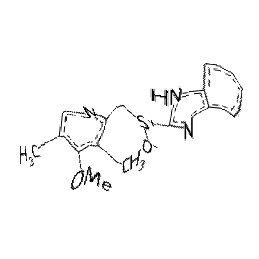 COc1c(C)cnc(C[S+]([O-])c2nc3ccccc3[nH]2)c1C